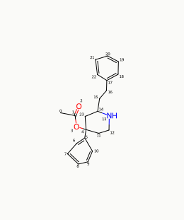 CC(=O)OC1(c2ccccc2)CCNC(CCc2ccccc2)C1